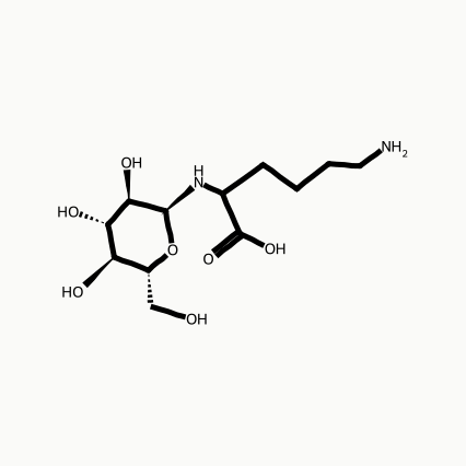 NCCCCC(N[C@H]1O[C@H](CO)[C@@H](O)[C@H](O)[C@H]1O)C(=O)O